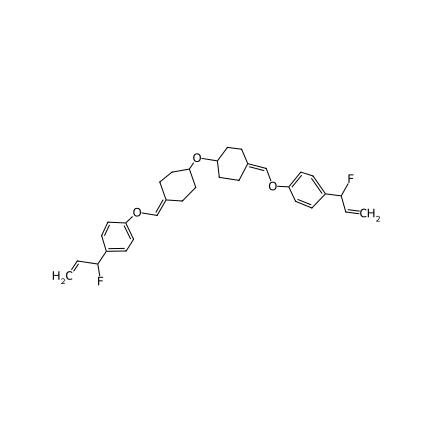 C=CC(F)c1ccc(OC=C2CCC(OC3CCC(=COc4ccc(C(F)C=C)cc4)CC3)CC2)cc1